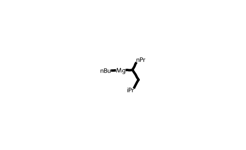 CCC[CH2][Mg][CH](CCC)CC(C)C